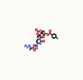 Cc1ccc(C(=O)OC[C@H]2O[C@@H](n3ccc(NOC(=O)[C@@H](C)N)nc3=O)[C@@H]3OC(=O)O[C@@H]32)cc1